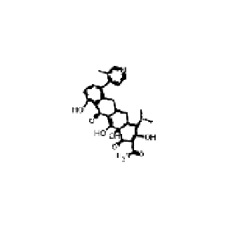 Cc1cnccc1-c1ccc(O)c2c1CC1CC3C(N(C)C)C(O)=C(C(N)=O)C(=O)C3(O)C(O)=C1C2=O